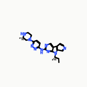 CC[C@H](C)n1c2cnccc2c2cnc(Nc3ccc(N4CCN[C@@H](C)C4)nn3)nc21